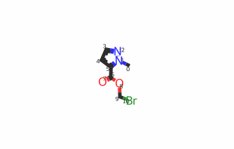 Cn1nccc1C(=O)OCBr